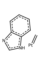 [CH2]=[Pt].c1ccc2[nH]cnc2c1